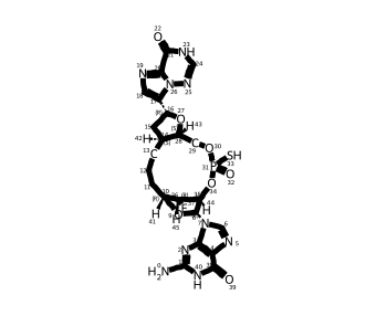 Nc1nc2c(ncn2[C@@H]2O[C@@H]3CCC[C@H]4C[C@H](c5cnc6c(=O)[nH]cnn56)O[C@@H]4COP(=O)(S)O[C@@H]2[C@@H]3F)c(=O)[nH]1